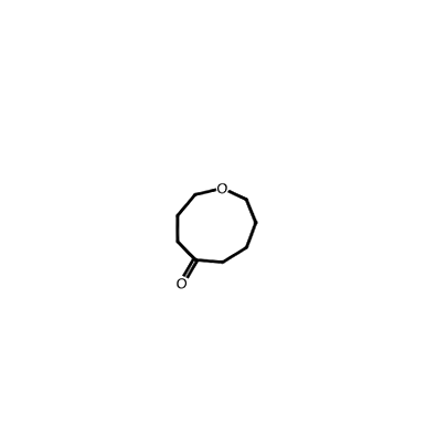 O=C1CCCCOCCC1